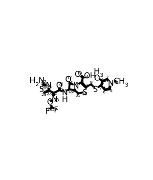 Cc1c[n+](C)ccc1SCC1=C(C(=O)O)N2C(=O)C(NC(=O)C(=NOC(F)F)c3csc(N)n3)C2CS1